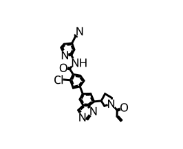 C=CC(=O)N1CCC(c2cc(-c3ccc(C(=O)Nc4cc(C#N)ccn4)c(Cl)c3)cc3cncnc23)C1